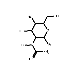 CCN(C(=N)N)C1C(P)C(O)C(CO)OC1C(C)C